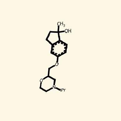 CC(C)N1CCOC(COc2ccc3c(c2)CCC3(C)O)C1